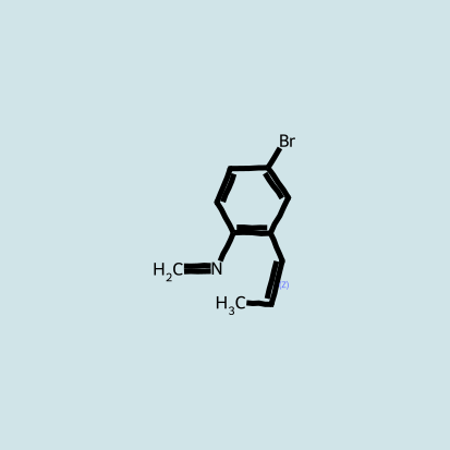 C=Nc1ccc(Br)cc1/C=C\C